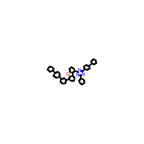 c1ccc(-c2ccc(-c3cccc(-c4cccc5c4oc4cccc(-c6nc(-c7ccccc7)nc(-c7ccc(-c8ccccc8)cc7)n6)c45)c3)cc2)cc1